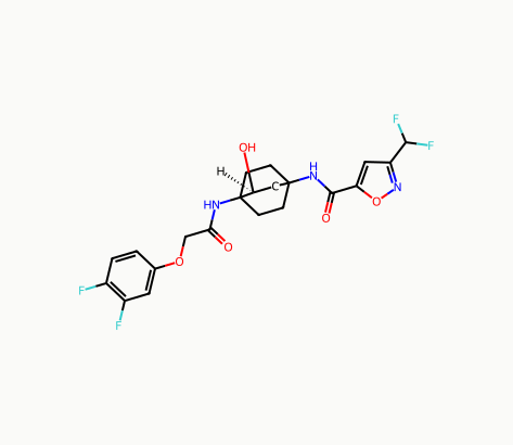 O=C(COc1ccc(F)c(F)c1)NC12CCC(NC(=O)c3cc(C(F)F)no3)(CC1)C[C@@H]2O